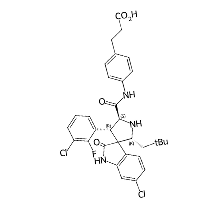 CC(C)(C)C[C@H]1N[C@H](C(=O)Nc2ccc(CCC(=O)O)cc2)[C@@H](c2cccc(Cl)c2F)C12C(=O)Nc1cc(Cl)ccc12